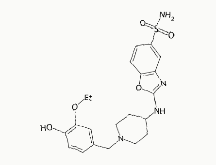 CCOc1cc(CN2CCC(Nc3nc4cc(S(N)(=O)=O)ccc4o3)CC2)ccc1O